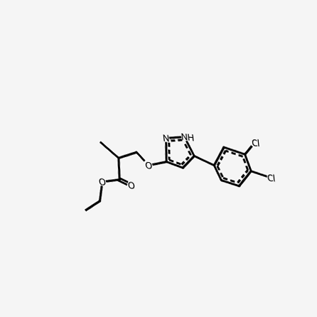 CCOC(=O)C(C)COc1cc(-c2ccc(Cl)c(Cl)c2)[nH]n1